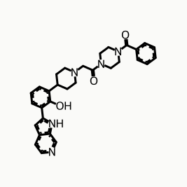 O=C(CN1CCC(c2cccc(-c3cc4ccncc4[nH]3)c2O)CC1)N1CCN(C(=O)c2ccccc2)CC1